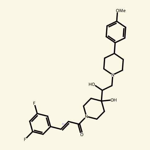 COc1ccc(C2CCN(CC(O)C3(O)CCN(C(=O)/C=C/c4cc(F)cc(F)c4)CC3)CC2)cc1